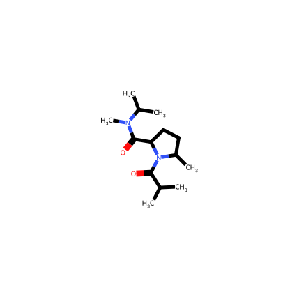 CC(C)C(=O)N1C(C)CCC1C(=O)N(C)C(C)C